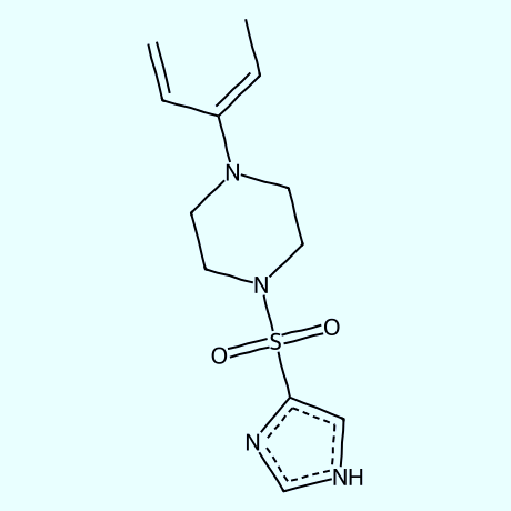 C=C/C(=C\C)N1CCN(S(=O)(=O)c2c[nH]cn2)CC1